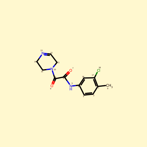 Cc1ccc(NC(=O)C(=O)N2CC=NCC2)cc1Cl